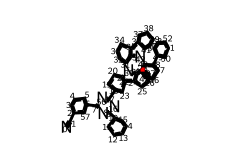 N#Cc1cccc(-c2nc(-c3ccccc3)nc(-c3ccc4c(c3)c3ccccc3n4-c3cccc4c5ccccc5n(-c5ccccc5-c5ccccc5)c34)n2)c1